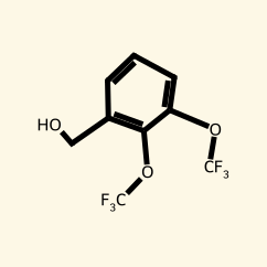 OCc1cccc(OC(F)(F)F)c1OC(F)(F)F